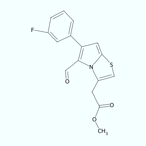 COC(=O)Cc1csc2cc(-c3cccc(F)c3)c(C=O)n12